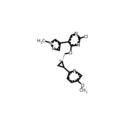 COc1ccc(C2C[C@@H]2COc2nc(Cl)ncc2-c2cnn(C)c2)nc1